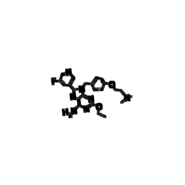 CCOc1nc(N)c2nc(-c3cncc(F)c3)n(Cc3ccc(OCCN(C)C)cc3)c2n1